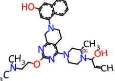 C=CC(O)N1CCN(c2nc(OCCN(C)C)nc3c2CCN(c2cc(O)cc4ccccc24)C3)C[C@H]1C